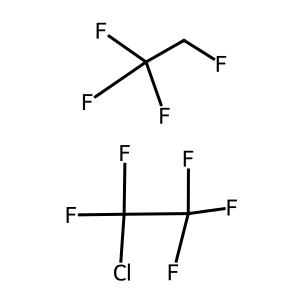 FC(F)(F)C(F)(F)Cl.FCC(F)(F)F